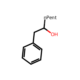 CCCCC[C](O)Cc1ccccc1